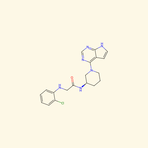 O=C(CNc1ccccc1Cl)N[C@@H]1CCCN(c2ncnc3[nH]ccc23)C1